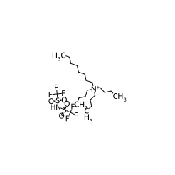 CCCCCCCC[N+](CCCC)(CCCC)CCCC.O=S(=O)(NS(=O)(=O)C(F)(F)F)C(F)(F)F